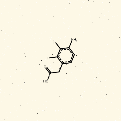 Nc1ccc(CC(=O)O)c(F)c1Cl